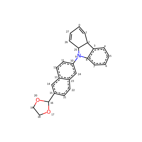 C1=CC2c3ccccc3N(c3ccc4cc(C5OCCO5)ccc4c3)C2C=C1